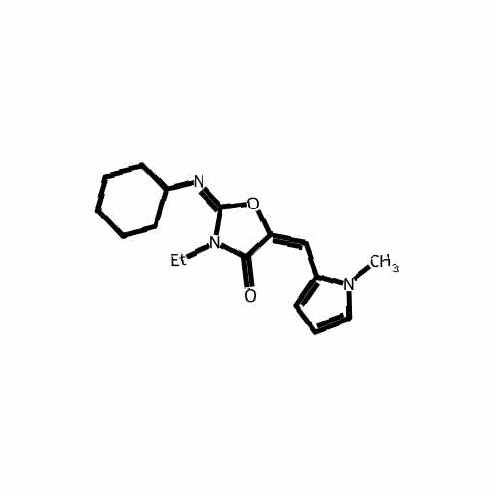 CCN1C(=O)/C(=C\c2cccn2C)O/C1=N/C1CCCCC1